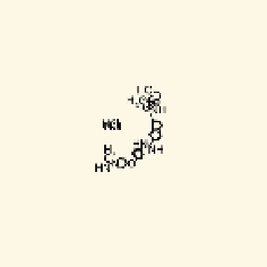 CC(=N)N1CCC(Oc2ccc(NC(=N)c3ccc4ccc(CNS(=O)(=O)N(C)C(=O)O)cc4c3)cc2)CC1.Cl.Cl